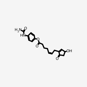 NC(=O)Nc1ccc(OC(=O)CCC/C=C\CC2=CC(O)CC2=O)cc1